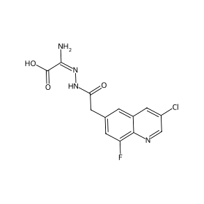 N/C(=N/NC(=O)Cc1cc(F)c2ncc(Cl)cc2c1)C(=O)O